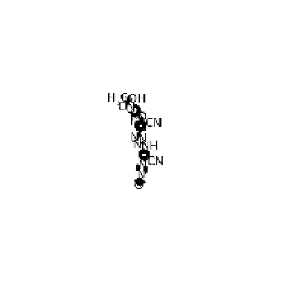 C[C@H](O)C(=O)N1CC[C@H](Oc2ccc(-c3ncnc(Nc4ccc(N5CCN(C6COC6)CC5)c(C#N)c4)n3)cc2C#N)[C@H](F)C1